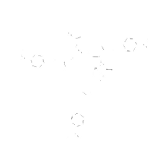 CN(C)C(=O)[C@H]1C[C@H](C(=O)OCc2ccc([N+](=O)[O-])cc2)CN1SC1=C(C(=O)OCc2ccc([N+](=O)[O-])cc2)N2C(=O)[C@@H](CCOC(=O)OCc3ccc([N+](=O)[O-])cc3)[C@H]2C1